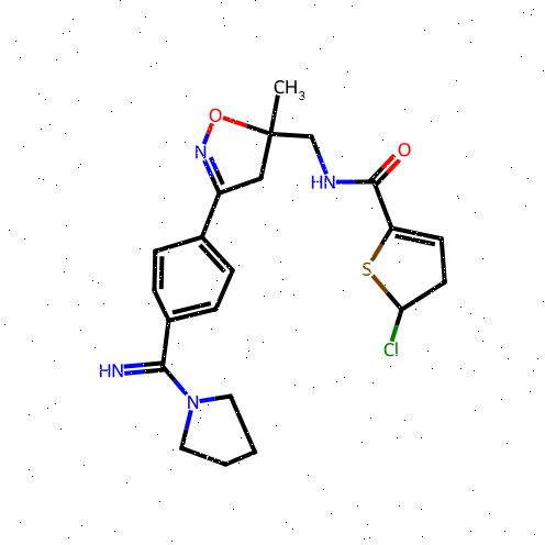 CC1(CNC(=O)C2=CCC(Cl)S2)CC(c2ccc(C(=N)N3CCCC3)cc2)=NO1